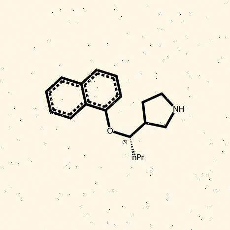 CCC[C@H](Oc1cccc2ccccc12)C1CCNC1